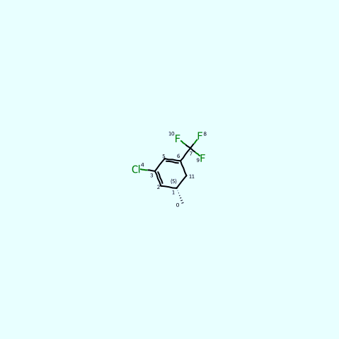 C[C@@H]1C=C(Cl)C=C(C(F)(F)F)C1